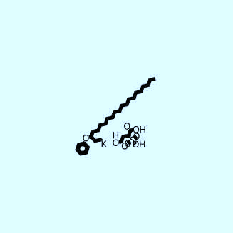 CCCCCCCCCCCCCCCCCCC(C[CH2][K])Oc1ccccc1.O=C(O)CC(C(=O)O)S(=O)(=O)O